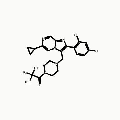 CC(C)(O)C(=O)N1CCN(Cc2c(-c3ccc(Cl)cc3Cl)nc3cnc(C4CC4)cn23)CC1